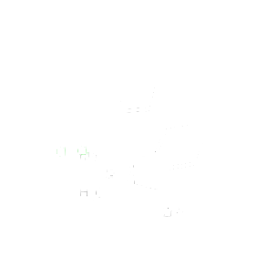 CCC[Si]1(C)C2=C1[CH]([Zr+2])c1cccc(C3=CC=CC3)c12.[Cl-].[Cl-]